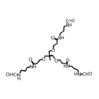 CC(COCCC(=O)NCCCNC=O)(COCCC(=O)NCCCNC=O)COCCC(=O)NCCCNC=O